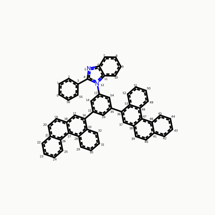 c1ccc(-c2nc3ccccc3n2-c2cc(-c3cc4ccc5ccccc5c4c4ccccc34)cc(-c3cc4ccc5ccccc5c4c4ccccc34)c2)cc1